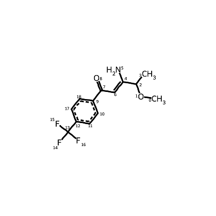 COC(C)C(N)=CC(=O)c1ccc(C(F)(F)F)cc1